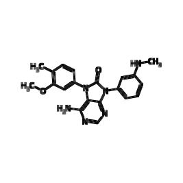 CNc1cccc(-n2c(=O)n(-c3ccc(C)c(OC)c3)c3c(N)ncnc32)c1